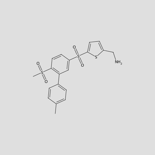 Cc1ccc(-c2cc(S(=O)(=O)c3ccc(CN)s3)ccc2S(C)(=O)=O)cc1